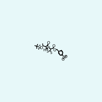 CC(O[Si](C)(C)C(C)(C)C)C1C(=O)N2C(C(=O)OCc3ccc([N+](=O)[O-])cc3)C(=S)S[C@@H]12